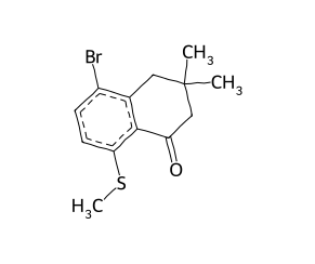 CSc1ccc(Br)c2c1C(=O)CC(C)(C)C2